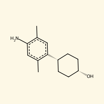 Cc1cc([C@H]2CC[C@@H](O)CC2)c(C)cc1N